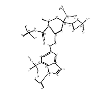 CC(C)n1cnc2cc(OC[C@@H]3CC(B(O)O)(C4CC(F)(F)C4)C[C@H](C)N3C(=O)OC(C)(C)C)cc(C(F)(F)F)c21